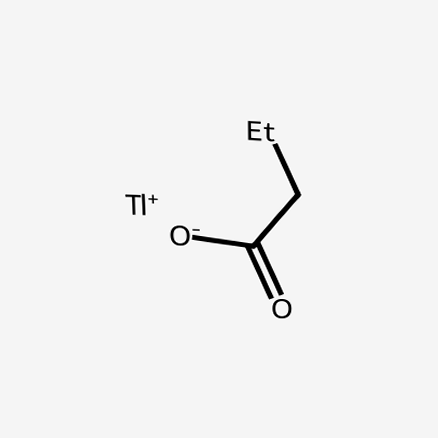 CCCC(=O)[O-].[Tl+]